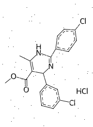 COC(=O)C1=C(C)NC(c2ccc(Cl)cc2)=NC1c1cccc(Cl)c1.Cl